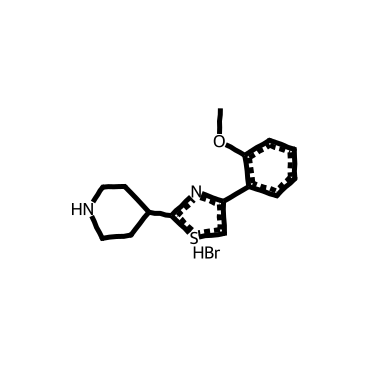 Br.COc1ccccc1-c1csc(C2CCNCC2)n1